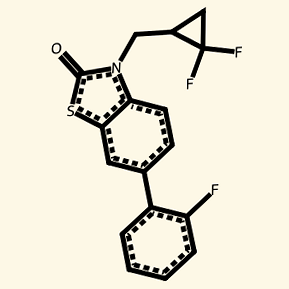 O=c1sc2cc(-c3ccccc3F)ccc2n1CC1CC1(F)F